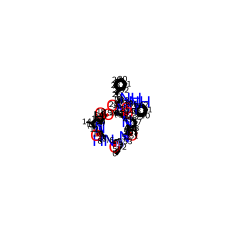 C#C/C=C1\C(=O)N[C@@H](C)C(=O)N2C[C@@H](C)C[C@H]2C(=O)OC[C@H](NC(=O)[C@H](Cc2ccccc2)NC(=O)Nc2ccccc2)C(=O)N2CCC[C@H]2C(=O)N1C